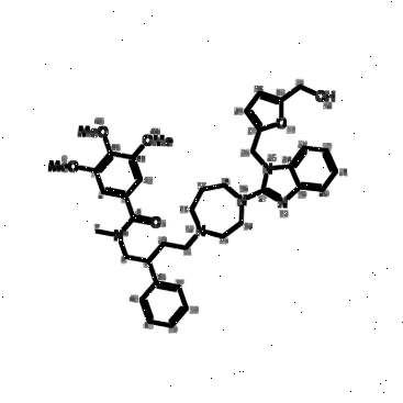 COc1cc(C(=O)N(C)CC(CCN2CCCN(c3nc4ccccc4n3Cc3ccc(CO)o3)CC2)c2ccccc2)cc(OC)c1OC